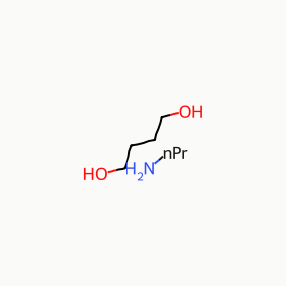 CCCN.OCCCCO